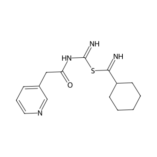 N=C(NC(=O)Cc1cccnc1)SC(=N)C1CCCCC1